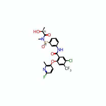 Cc1nc(F)ccc1Oc1cc(C(F)(F)F)c(Cl)cc1C(=O)Nc1cccc([S@@+]([O-])N(C)C(=O)[C@H](C)O)c1